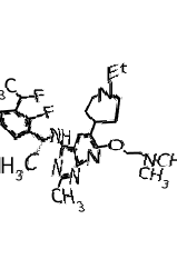 CCN1CCC(c2cc3c(N[C@H](C)c4cccc(C(C)F)c4F)nc(C)nc3nc2OCCN(C)C)CC1